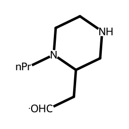 CCCN1CCNCC1C[C]=O